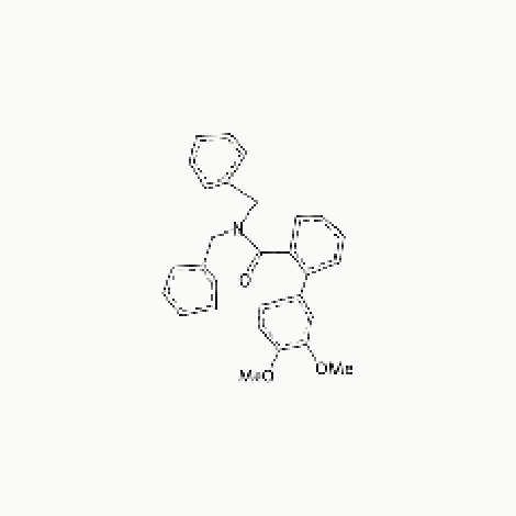 COc1ccc(-c2ccccc2C(=O)N(Cc2ccccc2)Cc2ccccc2)cc1OC